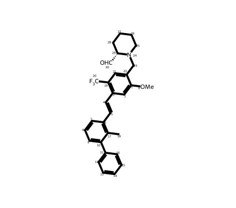 COc1cc(/C=C/c2cccc(-c3ccccc3)c2C)c(C(F)(F)F)cc1CN1CCCC[C@H]1C=O